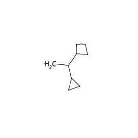 [CH2]C(C1CCC1)C1CC1